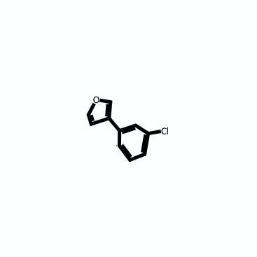 Clc1cc[c]c(-c2ccoc2)c1